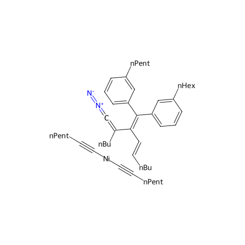 CCCCC=CC(C(=C=[N+]=[N-])CCCC)=C(c1cccc(CCCCC)c1)c1cccc(CCCCCC)c1.CCCCCC#[C][Ni][C]#CCCCCC